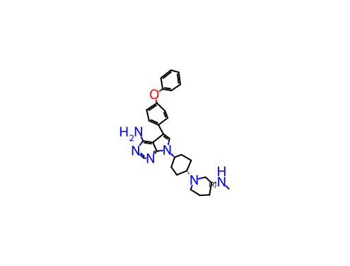 CN[C@@H]1CCCN([C@H]2CC[C@H](n3cc(-c4ccc(Oc5ccccc5)cc4)c4c(N)ncnc43)CC2)C1